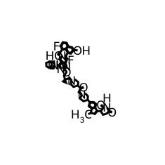 C#Cc1c(F)ccc2cc(O)cc(-c3ncc4c(N5CC6CCC(C5)N6)nc(OCC5(CN6CCC(C(=O)CN7CCC(c8ccc9c(c8)C(C)C=C9C8CCC(=O)NC8=O)CC7)CC6)CC5)nc4c3F)c12